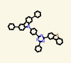 c1ccc(-c2ccc3c(c2)c2ccc(-c4ccccc4)cc2n3-c2ccc(-c3nc(-c4ccccc4)nc(-c4ccc5sc6ccccc6c5c4)n3)cc2)cc1